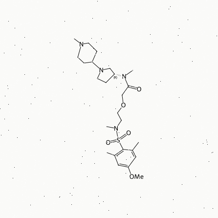 COc1cc(C)c(S(=O)(=O)N(C)CCOCC(=O)N(C)[C@@H]2CCN(C3CCN(C)CC3)C2)c(C)c1